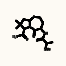 CNC(C)C(=S)NC1CCSC2CC(C)(C)C(C(N)=O)N2C1=O